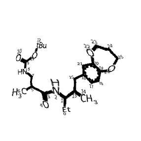 CCC(NC(=O)C(C)CNC(=O)OC(C)(C)C)C(C)Cc1ccc2c(c1)OCCCO2